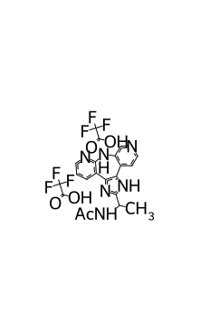 CC(=O)NC(C)c1nc2c([nH]1)-c1ccncc1Nc1ncccc1-2.O=C(O)C(F)(F)F.O=C(O)C(F)(F)F